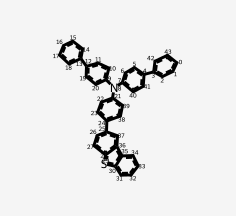 c1ccc(-c2ccc(N(c3ccc(-c4ccccc4)cc3)c3ccc(-c4ccc5sc6ccccc6c5c4)cc3)cc2)cc1